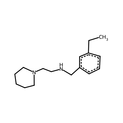 CCc1cccc(CNCCN2CCCCC2)c1